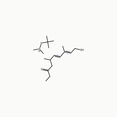 CCC(=O)CC(C)/C=C/C(C)=C/CO.C[SiH](C)OC(C)(C)C